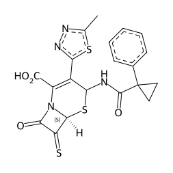 Cc1nnc(C2=C(C(=O)O)N3C(=O)C(=S)[C@@H]3SC2NC(=O)C2(c3ccccc3)CC2)s1